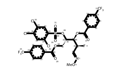 CON=C[C@H](F)[C@H](OC(=O)c1ccc(C(F)(F)F)cc1)[C@H](COC(=O)c1ccc(C(F)(F)F)cc1)OS(=O)(=O)c1cc(Cl)c(Cl)cc1Cl